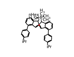 CCCCC[CH2][Hf]([CH3])([CH3])([CH3])(=[SiH2])([CH]1C=Cc2c(-c3ccc(C(C)C)cc3)cccc21)[CH]1C=Cc2c(-c3ccc(C(C)C)cc3)cccc21